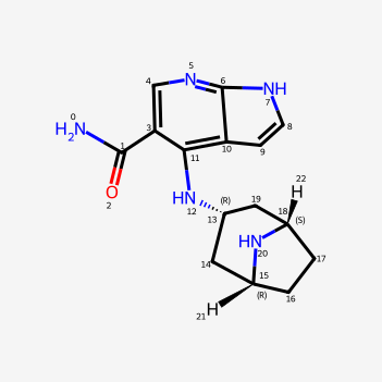 NC(=O)c1cnc2[nH]ccc2c1N[C@H]1C[C@H]2CC[C@@H](C1)N2